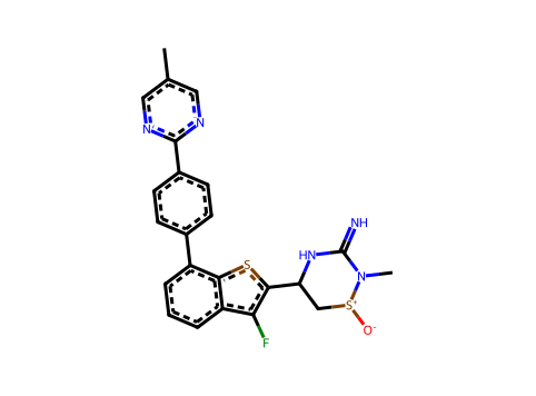 Cc1cnc(-c2ccc(-c3cccc4c(F)c(C5C[S+]([O-])N(C)C(=N)N5)sc34)cc2)nc1